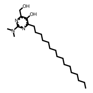 CCCCCCCCCCCCCCCCc1nc(N(C)C)nc(CO)c1O